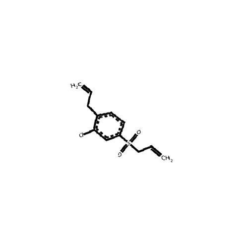 C=CCc1ccc(S(=O)(=O)CC=C)cc1Cl